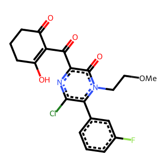 COCCn1c(-c2cccc(F)c2)c(Cl)nc(C(=O)C2=C(O)CCCC2=O)c1=O